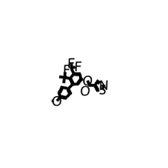 COc1ccc(-c2cc(OC(=O)c3cnsc3)cc(C(F)(F)F)c2C(C)(C)C)cc1